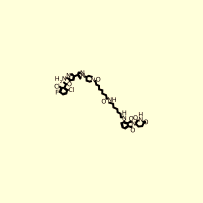 CC(Oc1cc(-c2cnn(C3CCN(C(=O)CCCCCCC(=O)NCCCCCCCNc4cccc5c4C(=O)N(C4CCC(=O)NC4=O)C5=O)CC3)c2)cnc1N)c1c(Cl)ccc(F)c1Cl